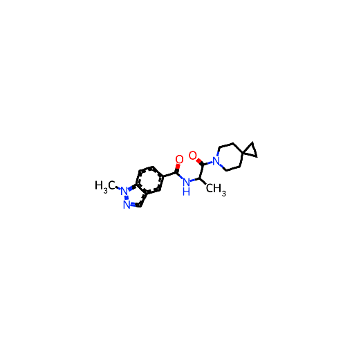 CC(NC(=O)c1ccc2c(cnn2C)c1)C(=O)N1CCC2(CC1)CC2